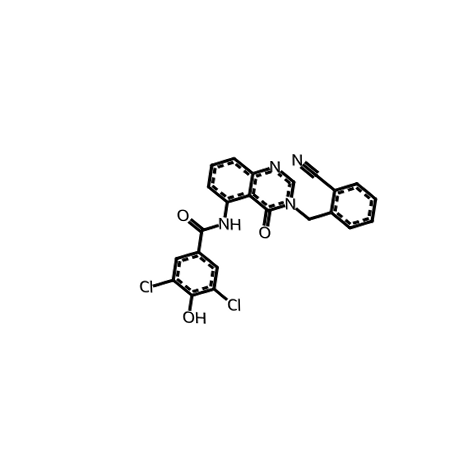 N#Cc1ccccc1Cn1cnc2cccc(NC(=O)c3cc(Cl)c(O)c(Cl)c3)c2c1=O